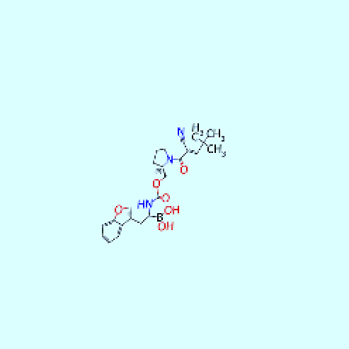 CC(C)(C)C=C(C#N)C(=O)N1CCC[C@@H]1COC(=O)NC(Cc1coc2ccccc12)B(O)O